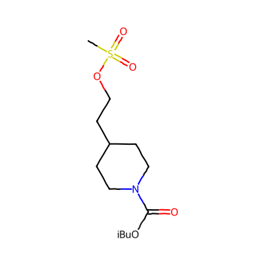 CC(C)COC(=O)N1CCC(CCOS(C)(=O)=O)CC1